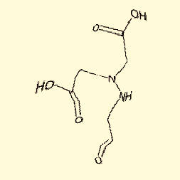 O=CCNN(CC(=O)O)CC(=O)O